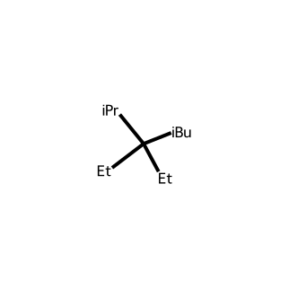 [CH2]C(C)C(CC)(CC)C(C)CC